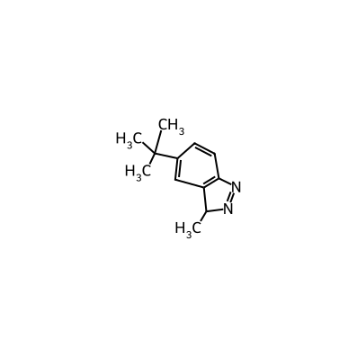 CC1N=Nc2ccc(C(C)(C)C)cc21